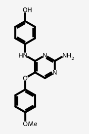 COc1ccc(Oc2cnc(N)nc2Nc2ccc(O)cc2)cc1